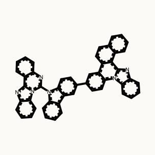 c1ccc2c(c1)ccc1c3cc(-c4ccc5c(c4)c4ccccc4n5-c4nc5ccccc5c5nc6ccccc6n45)ccc3n3c4ccccc4nc3c21